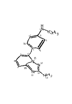 CNc1ccc(-c2cccc3nc(N)nn23)cc1